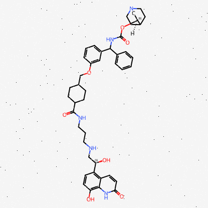 O=C(NC(c1ccccc1)c1cccc(OCC2CCC(C(=O)NCCCNC[C@@H](O)c3ccc(O)c4[nH]c(=O)ccc34)CC2)c1)O[C@H]1CN2CCC1CC2